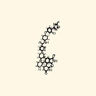 Cc1nc(-c2ccc(OC3CCC(NC(=O)c4ccc(N5CCC(N6CCNCC6c6c(F)cc7c(c6C6CCC(=O)NC6=O)C(=O)NC7=O)CC5)nn4)CC3)cc2Cl)no1